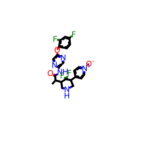 CC(C(=O)Nc1cnc(Oc2ccc(F)cc2F)cn1)C1CNCC(c2cc[n+]([O-])cc2)C1(F)F